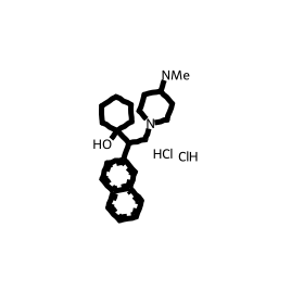 CNC1CCN(CC(c2ccc3ccccc3c2)C2(O)CCCCC2)CC1.Cl.Cl